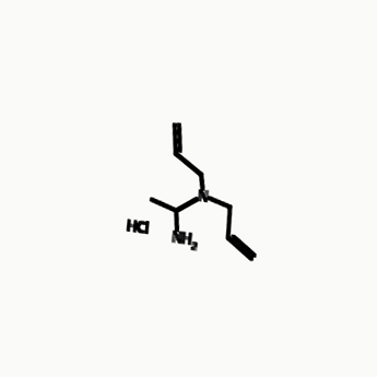 C=CCN(CC=C)C(C)N.Cl